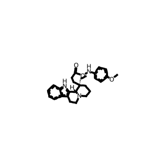 CC[C@]1(CCC(=O)ONc2ccc(OC)cc2)CCCN2CCc3c([nH]c4ccccc34)[C@@H]21